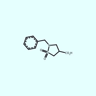 O=C(O)C1CN(Cc2ccccc2)S(=O)(=O)C1